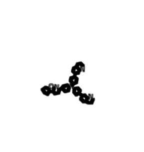 c1cnc2cc(-c3ccc(N(c4ccc(-c5ccc6cccnc6c5)cc4)c4ccc(-c5ccc6c(n5)oc5ccccc56)cc4)cc3)ccc2c1